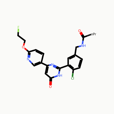 CCCC(=O)NCc1ccc(Cl)c(-c2nc(-c3ccc(OCCF)nc3)cc(=O)[nH]2)c1